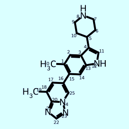 Cc1cc2c(C3CCNCC3)c[nH]c2cc1-c1cc(C)c2ncnn2c1